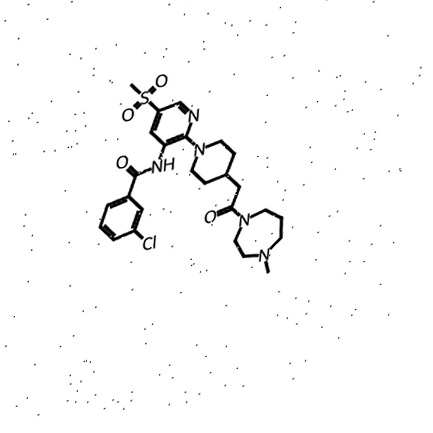 CN1CCCN(C(=O)CC2CCN(c3ncc(S(C)(=O)=O)cc3NC(=O)c3cccc(Cl)c3)CC2)CC1